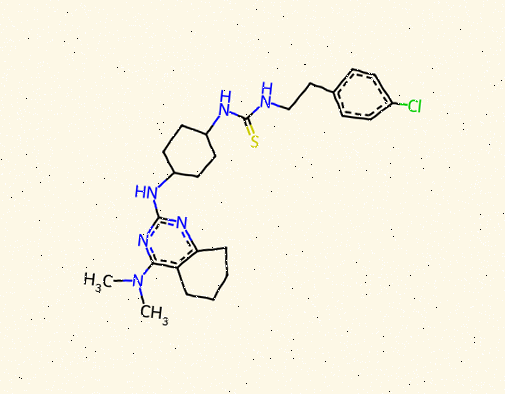 CN(C)c1nc(NC2CCC(NC(=S)NCCc3ccc(Cl)cc3)CC2)nc2c1CCCC2